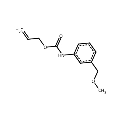 C=CCOC(=O)Nc1c[c]cc(COC)c1